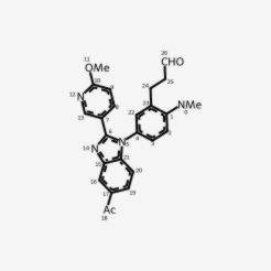 CNc1ccc(-n2c(-c3ccc(OC)nc3)nc3cc(C(C)=O)ccc32)cc1CCC=O